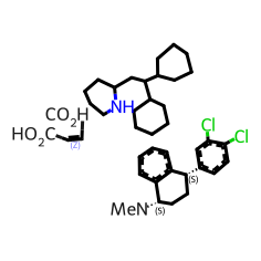 C1CCC(C(CC2CCCCN2)C2CCCCC2)CC1.CN[C@H]1CC[C@@H](c2ccc(Cl)c(Cl)c2)c2ccccc21.O=C(O)/C=C\C(=O)O